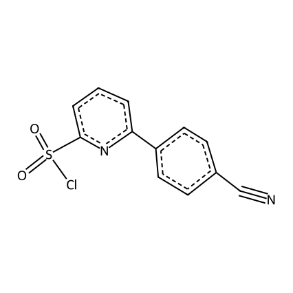 N#Cc1ccc(-c2cccc(S(=O)(=O)Cl)n2)cc1